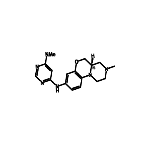 CNc1cc(Nc2ccc3c(c2)OC[C@@H]2CN(C)CCN32)ncn1